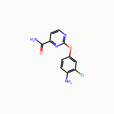 NC(=O)c1ccnc(Oc2ccc(N)c(Cl)c2)n1